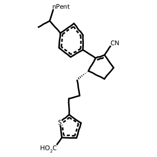 CCCCCC(C)c1ccc(C2=C(C#N)CC[C@@H]2CCCc2ccc(C(=O)O)s2)cc1